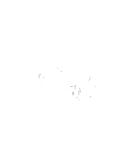 COBNCC[N+](C)(CCBOCN)CCCC(NBOC)C(=O)O